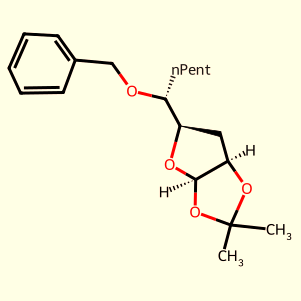 CCCCC[C@@H](OCc1ccccc1)[C@H]1C[C@H]2OC(C)(C)O[C@H]2O1